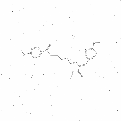 COC(=O)/C(=C/c1ccc(OC)cc1)CCCCCCC(=O)c1ccc(OC)cc1